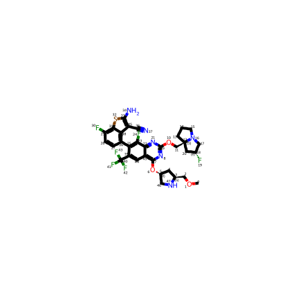 COC[C@@H]1C[C@@H](Oc2nc(OC[C@@]34CCCN3C[C@H](F)C4)nc3c(F)c(-c4ccc(F)c5sc(N)c(C#N)c45)c(C(F)(F)F)cc23)CN1